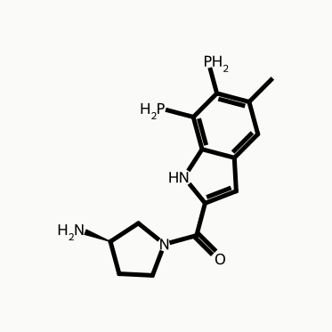 Cc1cc2cc(C(=O)N3CC[C@@H](N)C3)[nH]c2c(P)c1P